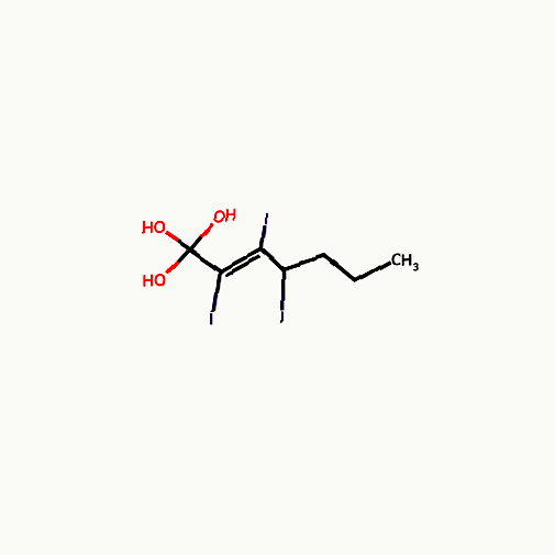 CCCC(I)/C(I)=C(\I)C(O)(O)O